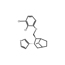 CN1C2CCC1[C@H](COc1cccc(Cl)c1Cl)[C@@H](c1ccsc1)C2